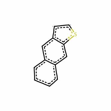 [c]1[c]c2cc3ccccc3cc2s1